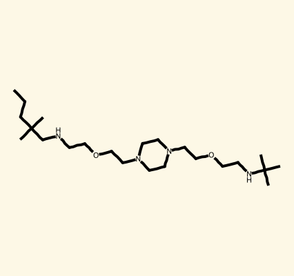 CCCC(C)(C)CNCCOCCN1CCN(CCOCCNC(C)(C)C)CC1